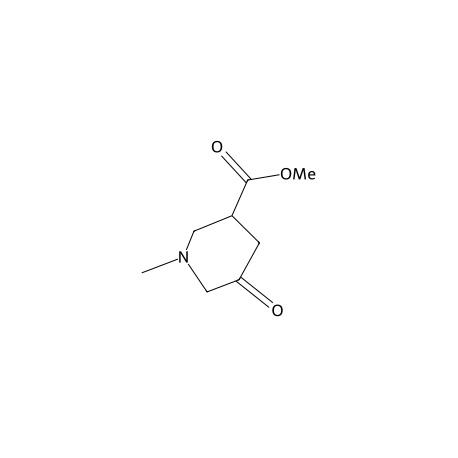 COC(=O)C1CC(=O)CN(C)C1